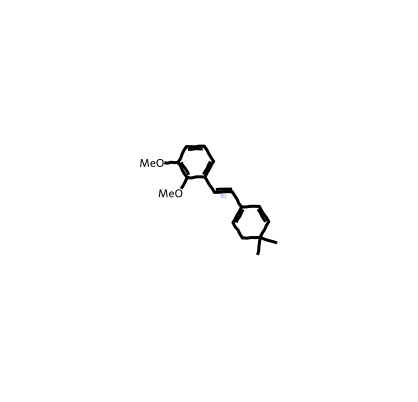 COc1cccc(/C=C/C2=CCC(C)(C)C=C2)c1OC